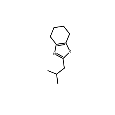 CC(C)Cc1nc2c(s1)CCCC2